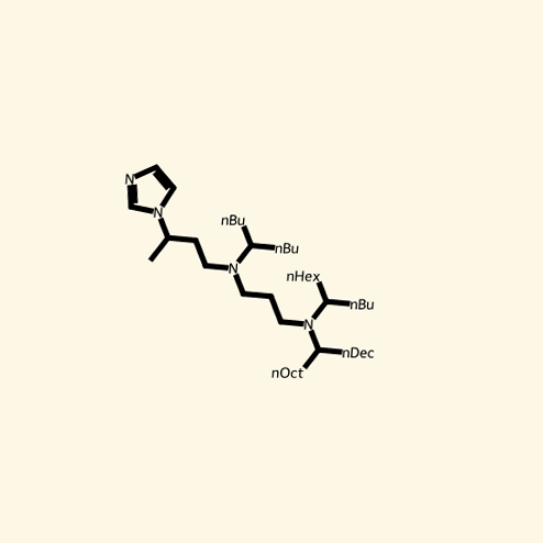 CCCCCCCCCCC(CCCCCCCC)N(CCCN(CCC(C)n1ccnc1)C(CCCC)CCCC)C(CCCC)CCCCCC